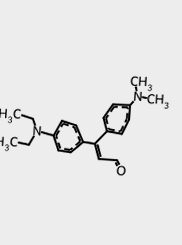 CCN(CC)c1ccc(C(=CC=O)c2ccc(N(C)C)cc2)cc1